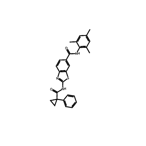 Cc1cc(C)c(NC(=O)c2ccc3nc(NC(=O)C4(c5ccccc5)CC4)sc3c2)c(C)c1